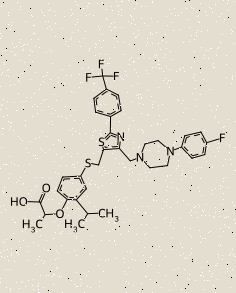 CC(Oc1ccc(SCc2sc(-c3ccc(C(F)(F)F)cc3)nc2CN2CCN(c3ccc(F)cc3)CC2)cc1C(C)C)C(=O)O